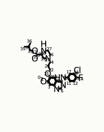 COc1cc2ncnc(Nc3ccc(F)c(Cl)c3)c2cc1OCCCN1CCNC(C(=O)OCC(C)C)C1